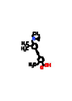 CCc1cc(C#Cc2ccc(CN(CC)C3CC3)c(C(C)C)c2)ccc1C(=O)O